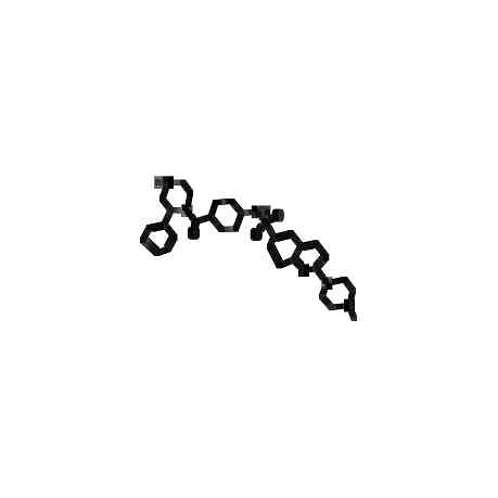 CN1CCN(c2ccc3cc(S(=O)(=O)NC4CCC(C(=O)N5CCNCC5c5ccccc5)CC4)ccc3n2)CC1